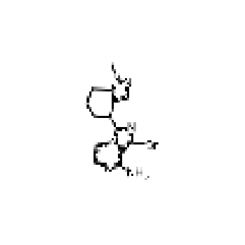 Cn1ncc2c1CCCC2c1nc(Br)c2c(N)nccn12